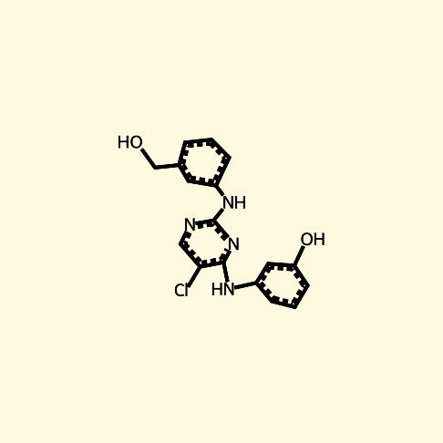 OCc1cccc(Nc2ncc(Cl)c(Nc3cccc(O)c3)n2)c1